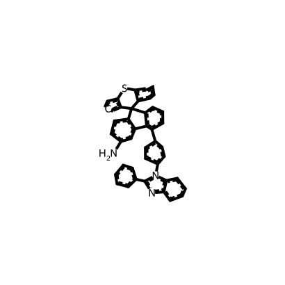 Nc1ccc2c(c1)-c1c(-c3ccc(-n4c(-c5ccccc5)nc5ccccc54)cc3)cccc1C21c2ccccc2Sc2ccccc21